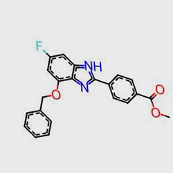 COC(=O)c1ccc(-c2nc3c(OCc4ccccc4)cc(F)cc3[nH]2)cc1